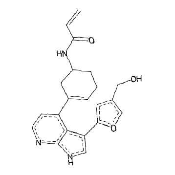 C=CC(=O)NC1CCC=C(c2ccnc3[nH]cc(-c4cc(CO)co4)c23)C1